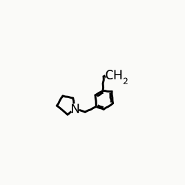 C=Cc1cccc(CN2CCCC2)c1